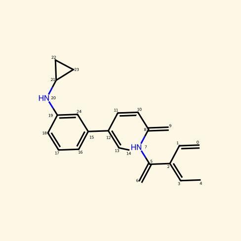 C=C/C(=C\C)C(=C)NC(=C)/C=C\C(=C/C)c1cccc(NC2CC2)c1